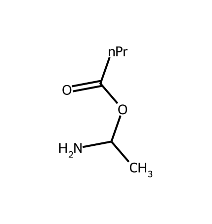 CCCC(=O)OC(C)N